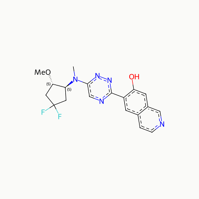 CO[C@H]1CC(F)(F)C[C@@H]1N(C)c1cnc(-c2cc3ccncc3cc2O)nn1